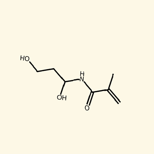 C=C(C)C(=O)NC(O)CCO